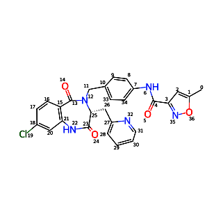 Cc1cc(C(=O)Nc2ccc(CN3C(=O)c4ccc(Cl)cc4NC(=O)[C@H]3Cc3ccccn3)cc2)no1